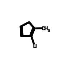 [Li][C]1=C(C)CC=C1